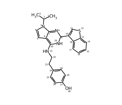 CC(C)n1ccc2c1=NC(c1csc3ccccc13)NC=2NCCc1ccc(O)cc1